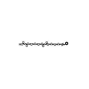 O=C(O)CCC(=O)OCCOCCOCCOCCOC(=O)CCC(=O)OCCOCCOCCOCCSSCc1ccccc1